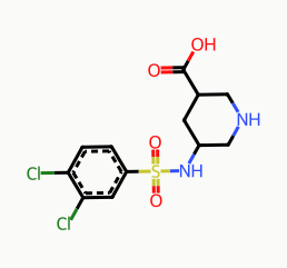 O=C(O)C1CNCC(NS(=O)(=O)c2ccc(Cl)c(Cl)c2)C1